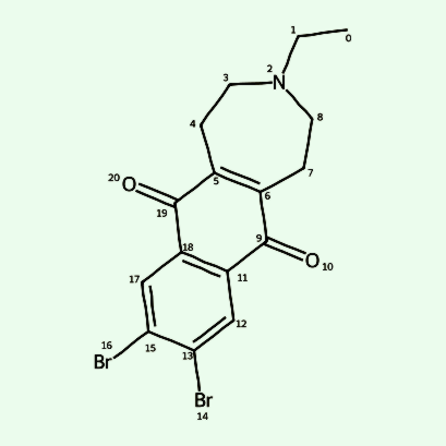 CCN1CCC2=C(CC1)C(=O)c1cc(Br)c(Br)cc1C2=O